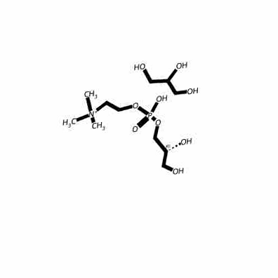 C[N+](C)(C)CCOP(=O)(O)OC[C@H](O)CO.OCC(O)CO